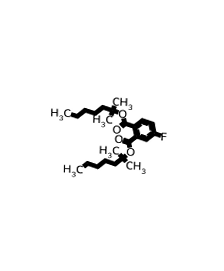 CCCCCC(C)(C)OC(=O)c1ccc(F)cc1C(=O)OC(C)(C)CCCCC